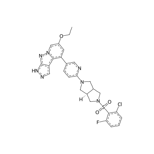 CCOc1cc(-c2ccc(N3CC4CN(S(=O)(=O)c5c(F)cccc5Cl)C[C@H]4C3)nc2)c2c3cn[nH]c3nn2c1